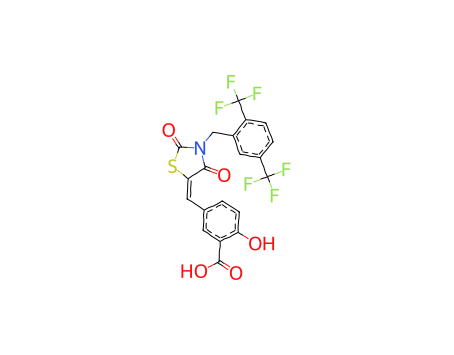 O=C(O)c1cc(C=C2SC(=O)N(Cc3cc(C(F)(F)F)ccc3C(F)(F)F)C2=O)ccc1O